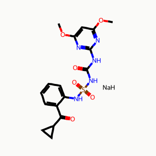 COc1cc(OC)nc(NC(=O)NS(=O)(=O)Nc2ccccc2C(=O)C2CC2)n1.[NaH]